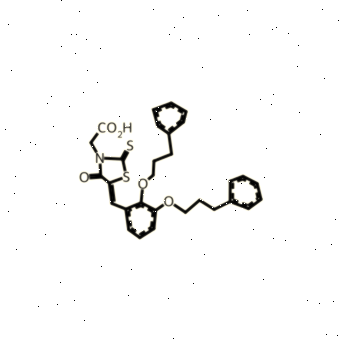 O=C(O)CN1C(=O)C(=Cc2cccc(OCCCc3ccccc3)c2OCCCc2ccccc2)SC1=S